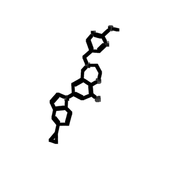 COc1ncc(CN2CCOc3c(Cl)cc(-n4ccc5cc(C6CC6)ccc54)cc3C2)cn1